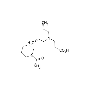 C=CCN(CC=C)CCC(=O)O.NC(=O)N1CCCCC1